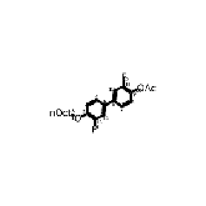 CCCCCCCCOc1ccc(-c2ccc(OC(C)=O)c(F)c2)cc1F